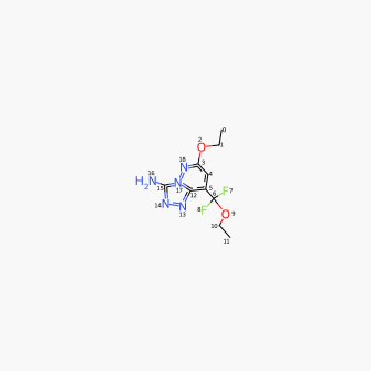 CCOc1cc(C(F)(F)OCC)c2nnc(N)n2n1